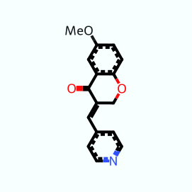 COc1ccc2c(c1)C(=O)/C(=C/c1ccncc1)CO2